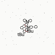 CC(C)(C)c1cc(-c2cccc3cccc(-c4ccccc4N(c4ccc(-c5ccccc5)cc4)c4ccc5c6ccccc6n(-c6ccccc6)c5c4)c23)cc(C(C)(C)C)c1